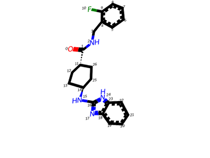 O=C(NCc1ccccc1F)[C@H]1CC[C@H](Nc2nc3ccccc3[nH]2)CC1